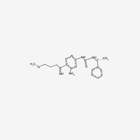 COCCCC(=N)c1cnc(NC(=O)N[C@H](C)c2ccccc2)cc1N